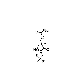 CC(F)(F)COC(=O)C(C)(CO)COC(=O)C(C)(C)C